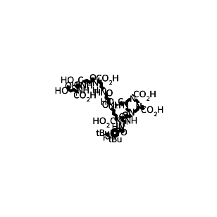 CC(C)(C)[Si](F)(c1ccc(C(=O)NC[C@@H](NC(=O)CN2CCN(CC(=O)O)CCN(CC(=O)O)CCN(CC(=O)O)CC2)C(=O)N[C@H](CCCCNC(=O)CCC(=O)NCCC[C@@H](NC(=O)CC[C@H](NC(=O)N[C@@H](CCC(O)O)C(=O)O)C(=O)O)C(=O)O)C(=O)O)cc1)C(C)(C)C